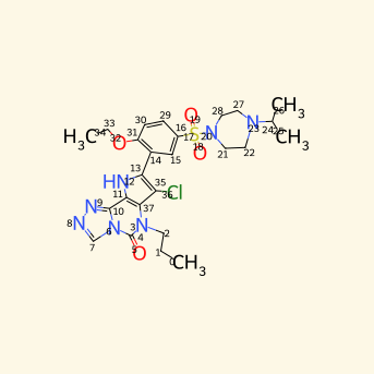 CCCn1c(=O)n2cnnc2c2[nH]c(-c3cc(S(=O)(=O)N4CCN(C(C)C)CC4)ccc3OCC)c(Cl)c21